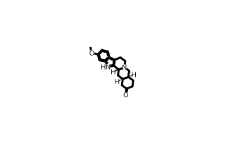 COc1ccc2c3c([nH]c2c1)[C@H]1C[C@@H]2CC(=O)CC[C@@H]2CN1CC3